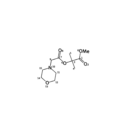 COC(=O)C(C)(C)OC(=O)CN1CCOCC1